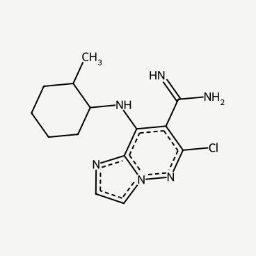 CC1CCCCC1Nc1c(C(=N)N)c(Cl)nn2ccnc12